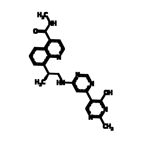 CNC(=O)c1ccnc2c([C@H](C)CNc3cc(-c4cnc(C)nc4O)ncn3)cccc12